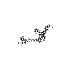 C=N\C(=N/C=C\C=C/C=C/C=N/Cc1ccc2c(c1)oc1c(-n3c4ccc(C5=CCC(C)C=C5)cc4c4cc(-c5ccccc5)ccc43)cccc12)c1ccccc1